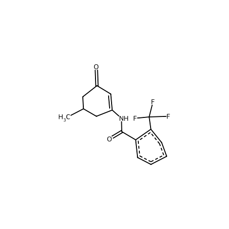 CC1CC(=O)C=C(NC(=O)c2ccccc2C(F)(F)F)C1